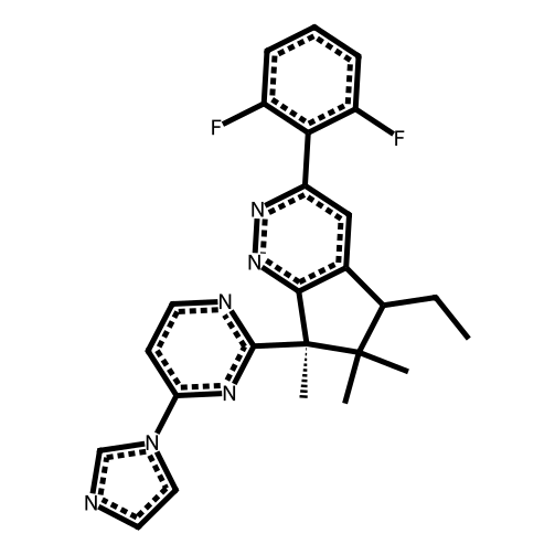 CCC1c2cc(-c3c(F)cccc3F)nnc2[C@](C)(c2nccc(-n3ccnc3)n2)C1(C)C